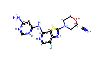 N#C[C@@H]1CN(c2nc3c(F)cnc(Nc4cc(N)ncn4)c3s2)CCO1